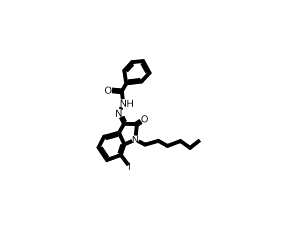 CCCCCCN1C(=O)C(=NNC(=O)c2ccccc2)c2cccc(I)c21